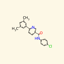 Cc1cc(C)cc(-c2ccc(C(=O)Nc3ccc(Cl)cc3)cn2)c1